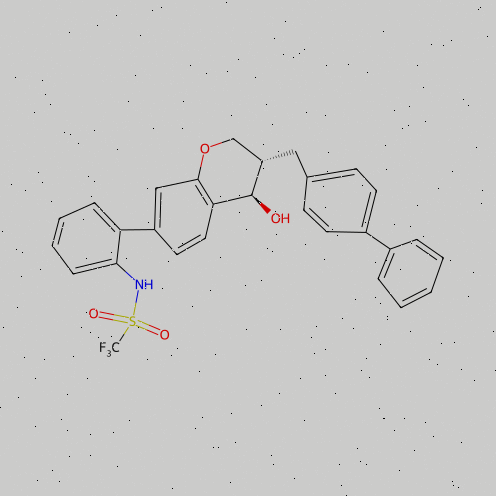 O=S(=O)(Nc1ccccc1-c1ccc2c(c1)OC[C@H](Cc1ccc(-c3ccccc3)cc1)[C@H]2O)C(F)(F)F